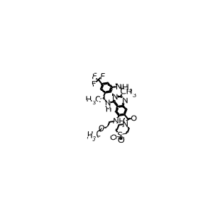 COCCNc1cc2c(N[C@H](C)c3cc(N)cc(C(F)(F)F)c3)nc(C)nc2cc1C(=O)N1CCS(=O)(=O)CC1